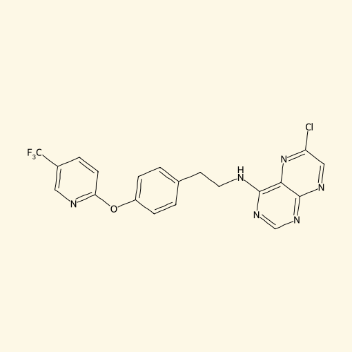 FC(F)(F)c1ccc(Oc2ccc(CCNc3ncnc4ncc(Cl)nc34)cc2)nc1